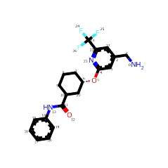 NCc1cc(O[C@H]2CCCC(C(=O)Nc3ccccc3)C2)nc(C(F)(F)F)c1